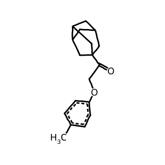 Cc1ccc(OCC(=O)C23CC4CC(C2)C(C4)C3)cc1